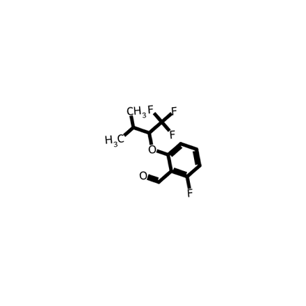 CC(C)C(Oc1cccc(F)c1C=O)C(F)(F)F